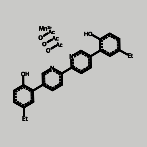 CC(=O)[O-].CC(=O)[O-].CC(=O)[O-].CCc1ccc(O)c(-c2ccc(-c3ccc(-c4cc(CC)ccc4O)cn3)nc2)c1.[Mn+3]